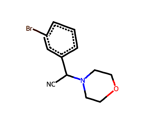 N#CC(c1cccc(Br)c1)N1CCOCC1